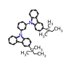 CC[Si](C)(C)c1ccc2c(c1)c1ccccc1n2-c1cccc(-n2c3ccccc3c3cc([Si](C)(C)CC)ccc32)c1